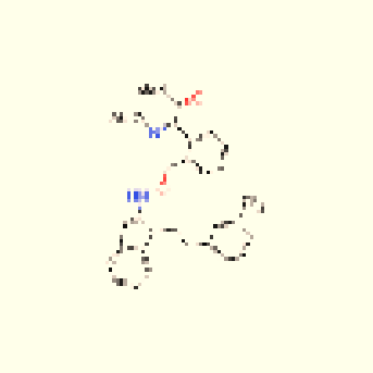 CNC(=O)C(=NOC)c1ccccc1CONC1=Cc2ccccc2C1CCc1cccc(C(F)(F)F)c1